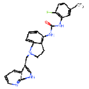 O=C(Nc1cc(C(F)(F)F)ccc1F)Nc1cccc2c1CCN2Cc1c[nH]c2ncccc12